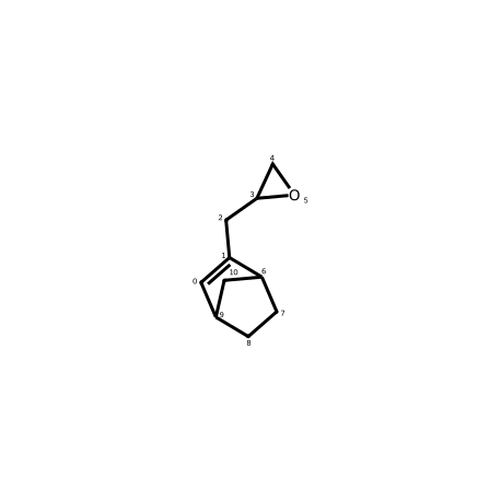 C1=C(CC2CO2)C2CCC1C2